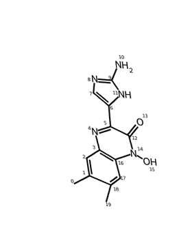 Cc1cc2nc(-c3cnc(N)[nH]3)c(=O)n(O)c2cc1C